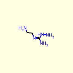 NCCN=C(N)NN